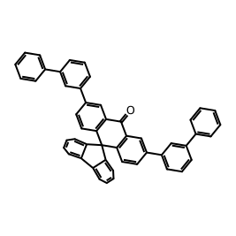 O=C1c2cc(-c3cccc(-c4ccccc4)c3)ccc2C2(c3ccc(-c4cccc(-c5ccccc5)c4)cc31)c1ccccc1-c1ccccc12